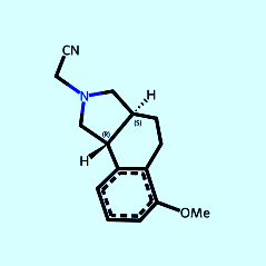 COc1cccc2c1CC[C@@H]1CN(CC#N)C[C@@H]21